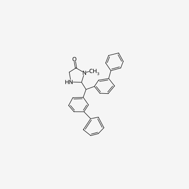 CN1C(=O)CNC1C(c1cccc(-c2ccccc2)c1)c1cccc(-c2ccccc2)c1